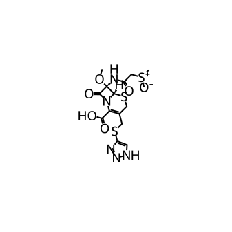 CO[C@@]1(NC(=O)C[S+](C)[O-])C(=O)N2C(C(=O)O)=C(CSc3c[nH]nn3)CS[C@H]21